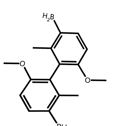 Bc1ccc(OC)c(-c2c(OC)ccc(B)c2C)c1C